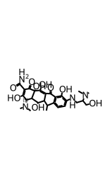 CC1c2ccc(NCC(CO)N(C)C)c(O)c2C(=O)C2=C(O)C3(O)C(=O)C(C(N)=O)=C(O)[C@@H](N(C)C)C3C(O)C21